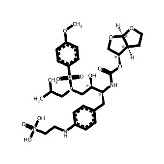 COc1ccc(S(=O)(=O)N(CC(C)C)C[C@@H](O)[C@H](Cc2ccc(NCCP(=O)(O)O)cc2)NC(=O)O[C@H]2CO[C@H]3OCC[C@H]32)cc1